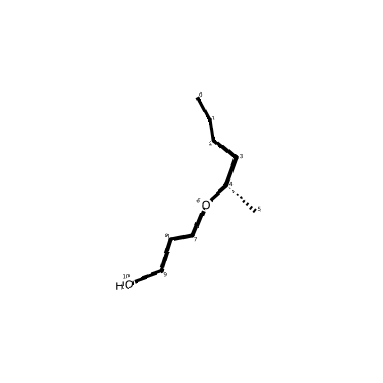 CCCC[C@H](C)OCCCO